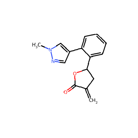 C=C1CC(c2ccccc2-c2cnn(C)c2)OC1=O